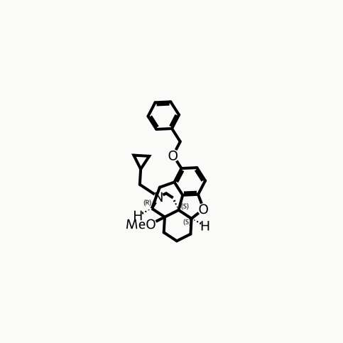 COC12CCC[C@@H]3Oc4ccc(OCc5ccccc5)c5c4[C@@]31CCN(CC1CC1)[C@@H]2C5